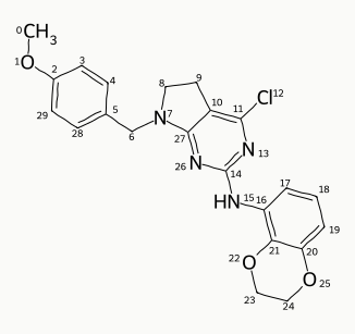 COc1ccc(CN2CCc3c(Cl)nc(Nc4cccc5c4OCCO5)nc32)cc1